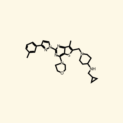 Cc1cccc(-c2ccn(-c3nc(N4CCOCC4)c4sc(CN5CCC(NCC6CC6)CC5)c(C)c4n3)n2)c1